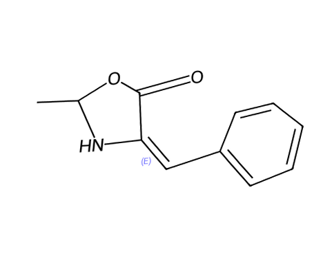 CC1N/C(=C/c2ccccc2)C(=O)O1